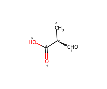 C[C@@H](C=O)C(=O)O